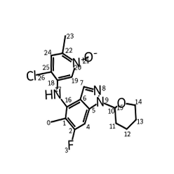 Cc1c(F)cc2c(cnn2C2CCCCO2)c1Nc1c[n+]([O-])c(C)cc1Cl